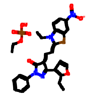 CCOS(=O)(=O)O.CCc1occc1C1=NN(c2ccccc2)C(=O)C1=CC=C1Sc2cc([N+](=O)[O-])ccc2N1CC